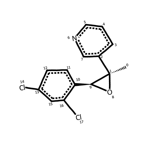 C[C@]1(c2cccnc2)O[C@H]1c1ccc(Cl)cc1Cl